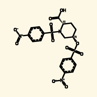 O=C(O)[C@@H]1CC[C@@H](OS(=O)(=O)c2ccc([N+](=O)[O-])cc2)CN1S(=O)(=O)c1ccc([N+](=O)[O-])cc1